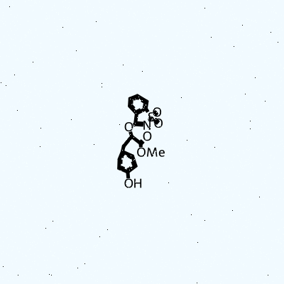 COC(=O)C(Cc1ccc(O)cc1)OC1=NS(=O)(=O)c2ccccc21